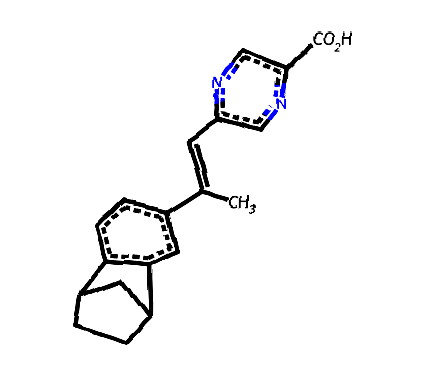 C/C(=C\c1cnc(C(=O)O)cn1)c1ccc2c(c1)C1CCC2C1